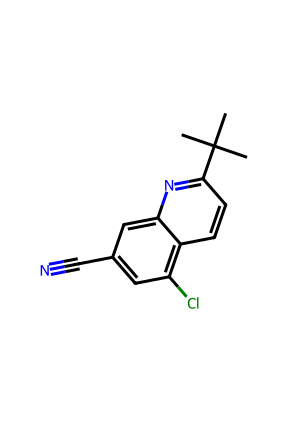 CC(C)(C)c1ccc2c(Cl)cc(C#N)cc2n1